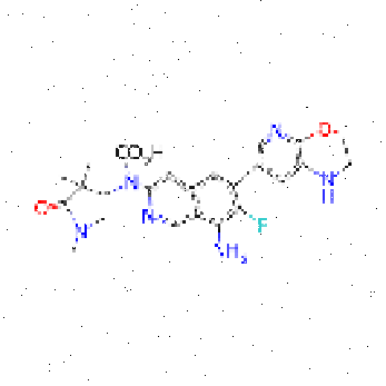 Cc1c(-c2cc3cc(N(C(=O)O)C4CN(C)C(=O)C4(C)C)ncc3c(N)c2F)cnc2c1NCCO2